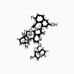 C#Cc1c(F)ccc2cc(O)cc(-c3nc4c5c(cc(OC[C@@]67CCCN6C[C@H](F)C7)nc5c3F)N3C[C@H]5CC[C@H](N5)[C@H]3CO4)c12